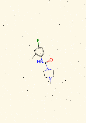 Cc1cc(F)ccc1NC(=O)N1CCN(C)CC1